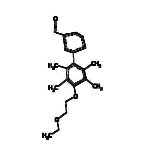 CCOCCOc1c(C)c(C)c(-c2cccc(C=O)c2)c(C)c1C